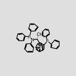 C[C@@H](N(c1ccccc1)P(c1ccccc1)c1ccccc1)[C@@]12[CH]3[CH]4[CH]5[C]1(P(c1ccccc1)c1ccccc1)[Fe]45321678[CH]2[CH]1[CH]6[CH]7[CH]28